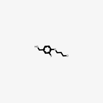 OCc1ccc(OCCCCl)c(F)c1